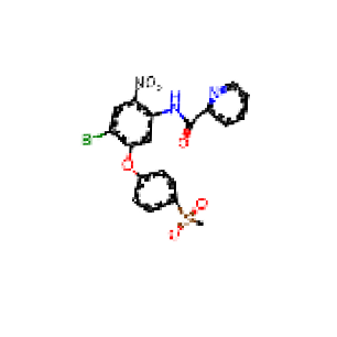 CS(=O)(=O)c1ccc(Oc2cc(NC(=O)c3ccccn3)c([N+](=O)[O-])cc2Br)cc1